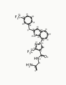 C=C(N)CNC(=O)c1cn(-c2cccc3cc(Cc4cccc(C(F)(F)F)c4)sc23)nc1C(F)(F)F